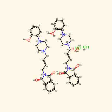 COc1ccccc1N1CCN(CC=CCN2C(=O)c3ccccc3C2=O)CC1.COc1ccccc1N1CCN(CC=CCN2C(=O)c3ccccc3C2=O)CC1.Cl.Cl.O